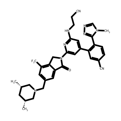 C[C@@H]1C[C@H](C)CN(Cc2cc3c(c(C(F)(F)F)c2)CN(c2cc(-c4cc(C#N)ccc4-c4nncn4C)cc(NCCC#N)n2)C3=O)C1